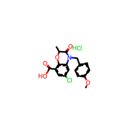 COc1ccc(CN2C(=O)C(C)Oc3c(C(=O)O)cc(Cl)cc32)cc1.Cl